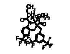 CCOC(=O)N1c2ccc(C(F)(F)F)cc2CC(Cc2cc(C(F)(F)F)cc(C(F)(F)F)c2)(C(=O)OC)C1(N)CC